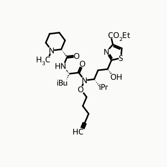 C#CCCCON(C(=O)[C@@H](NC(=O)[C@H]1CCCCN1C)[C@@H](C)CC)[C@H](C[C@@H](O)c1nc(C(=O)OCC)cs1)C(C)C